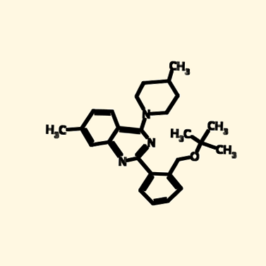 Cc1ccc2c(N3CCC(C)CC3)nc(-c3ccccc3COC(C)(C)C)nc2c1